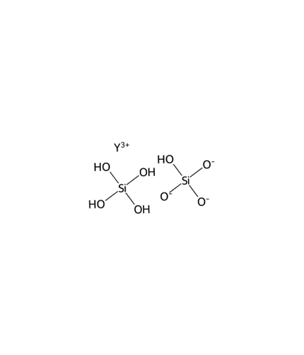 O[Si](O)(O)O.[O-][Si]([O-])([O-])O.[Y+3]